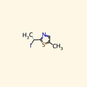 Cc1cnc([C@@H](C)I)s1